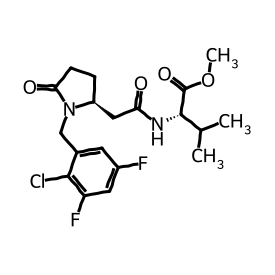 COC(=O)[C@@H](NC(=O)C[C@@H]1CCC(=O)N1Cc1cc(F)cc(F)c1Cl)C(C)C